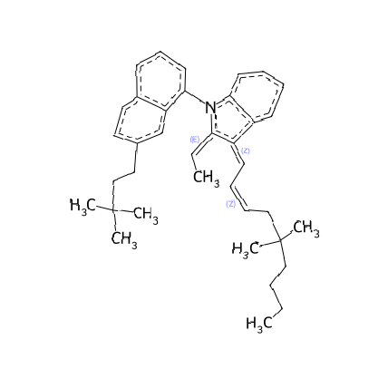 C\C=c1/c(=C\C=C/CC(C)(C)CCCC)c2ccccc2n1-c1cccc2ccc(CCC(C)(C)C)cc12